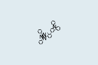 Cc1c(-c2ccc3c(c2)c2ccccc2n3-c2ccccc2)cccc1-c1nc(-c2ccccc2)nc(-c2ccccc2)n1